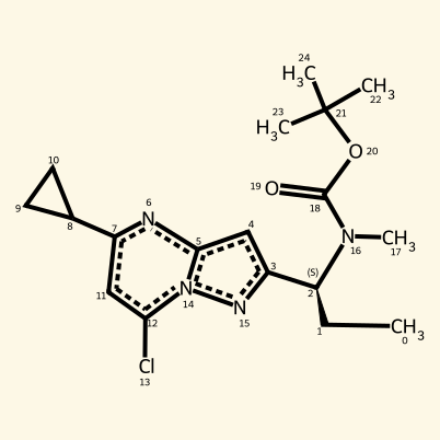 CC[C@@H](c1cc2nc(C3CC3)cc(Cl)n2n1)N(C)C(=O)OC(C)(C)C